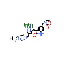 CN1CCN(Cc2c[nH]c(C=C3C(=O)Nc4ccc(CN5CCOC5=O)cc43)c2)CC1.Cl.Cl